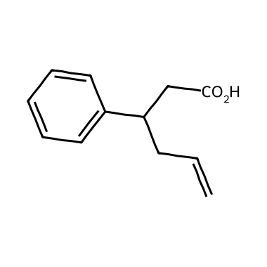 C=CCC(CC(=O)O)c1ccccc1